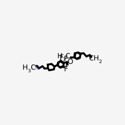 C=CCCc1ccc(C(C)OC(F)(F)c2c(F)cc(C3CCC(CC/C=C/C)CC3)cc2F)cc1